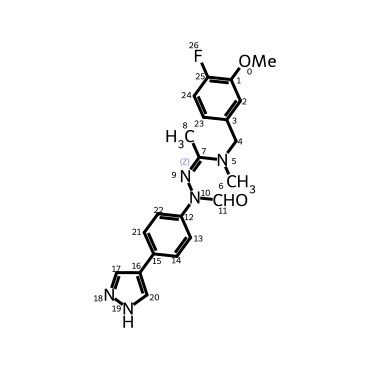 COc1cc(CN(C)/C(C)=N\N(C=O)c2ccc(-c3cn[nH]c3)cc2)ccc1F